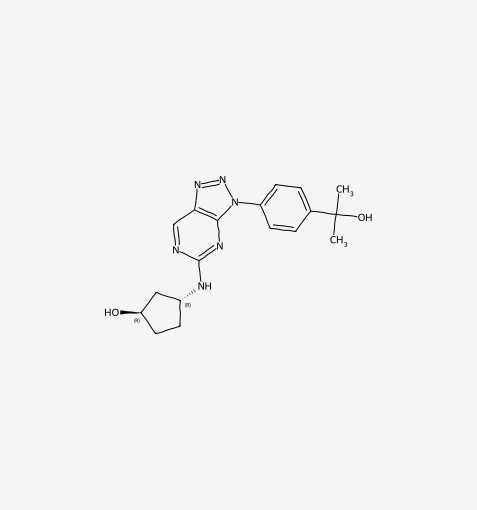 CC(C)(O)c1ccc(-n2nnc3cnc(N[C@@H]4CC[C@@H](O)C4)nc32)cc1